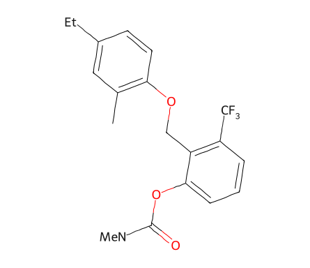 CCc1ccc(OCc2c(OC(=O)NC)cccc2C(F)(F)F)c(C)c1